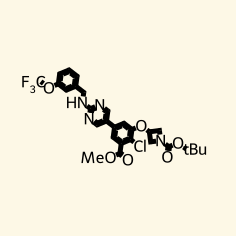 COC(=O)c1cc(-c2cnc(NCc3cccc(OC(F)(F)F)c3)nc2)cc(OC2CN(C(=O)OC(C)(C)C)C2)c1Cl